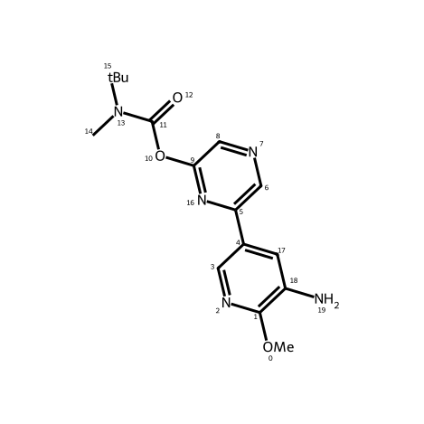 COc1ncc(-c2cncc(OC(=O)N(C)C(C)(C)C)n2)cc1N